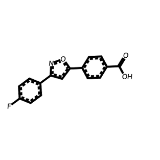 O=C(O)c1ccc(-c2cc(-c3ccc(F)cc3)no2)cc1